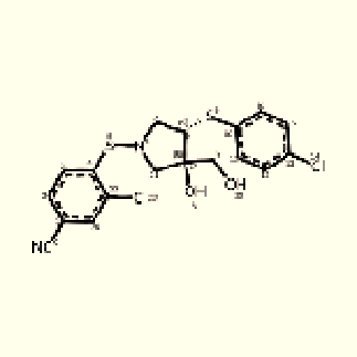 N#Cc1ccc(SN2C[C@H](Sc3ccc(Cl)cc3)[C@](O)(CO)C2)c(Cl)c1